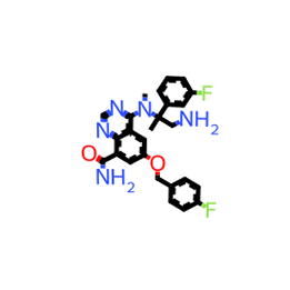 CN(c1ncnc2c(C(N)=O)cc(OCc3ccc(F)cc3)cc12)C(C)(CN)c1cccc(F)c1